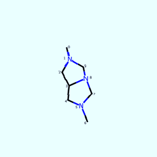 CN1CC2CN(C)CN2C1